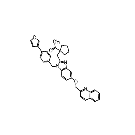 O=C(O)C1(Cc2nc3cc(OCc4ccc5ccccc5n4)ccc3n2Cc2ccc(-c3ccoc3)cc2)CCCC1